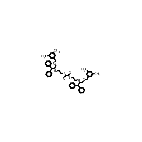 Cc1cc(C)cc(COCC(NCCOC(=O)C(=O)OCCNC(COCc2cc(C)cc(C)c2)C(c2ccccc2)c2ccccc2)C(c2ccccc2)c2ccccc2)c1